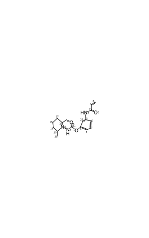 C=CC(=O)Nc1cccc(OC(=O)NN2C(C)CCCC2C)c1